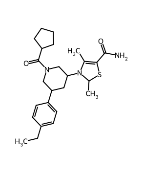 CCc1ccc(C2CC(N3C(C)=C(C(N)=O)SC3C)CN(C(=O)C3CCCC3)C2)cc1